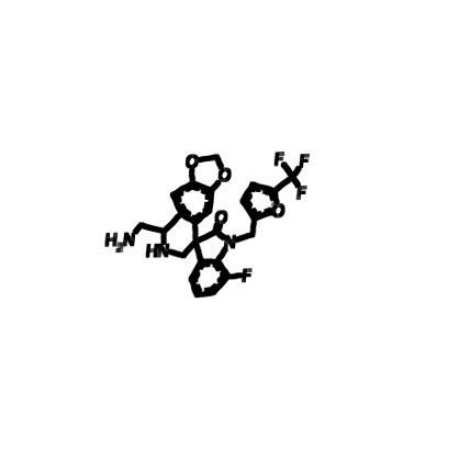 NCC1NCC2(C(=O)N(Cc3ccc(C(F)(F)F)o3)c3c(F)cccc32)c2cc3c(cc21)OCO3